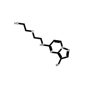 OCCOCCNc1ccn2ncc(Br)c2n1